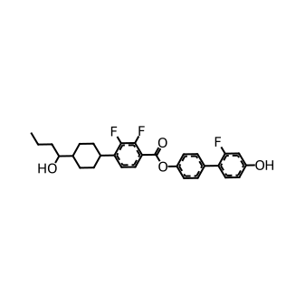 CCCC(O)C1CCC(c2ccc(C(=O)Oc3ccc(-c4ccc(O)cc4F)cc3)c(F)c2F)CC1